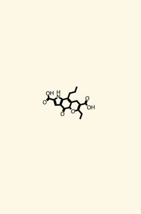 CCCC1=C2CC(C(=O)O)=C(CC)OC2C(=O)c2cc(C(=O)O)[nH]c21